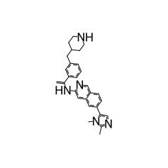 C=C(Nc1cc2cc(-c3cnc(C)n3C)ccc2cn1)c1cccc(CC2CCNCC2)c1